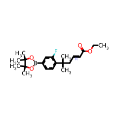 CCOC(=O)/C=C/CC(C)(C)c1ccc(B2OC(C)(C)C(C)(C)O2)cc1F